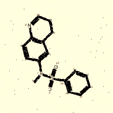 CN(c1ccc2c(c1)CCC=N2)S(=O)(=O)c1ccccc1